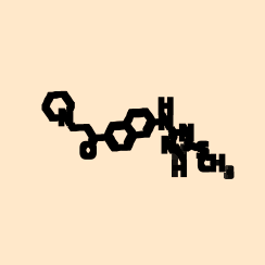 CSc1nc(Nc2ccc3cc(C(=O)CCN4CCCCC4)ccc3c2)n[nH]1